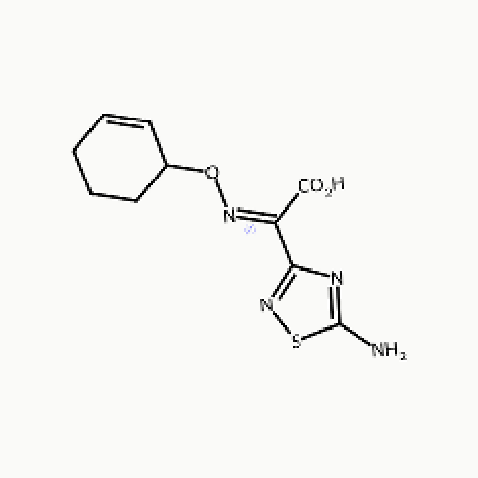 Nc1nc(/C(=N/OC2C=CCCC2)C(=O)O)ns1